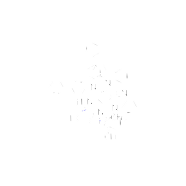 C=C/C=C(\C)N(C(=C)/C=C\C)c1c(N)c(-n2c3ccc(-c4ccccc4)cc3c3cc(-c4ccccc4)ccc32)c(-n2c3ccccc3c3ccccc32)c(C#N)c1-n1c2ccccc2c2ccccc21